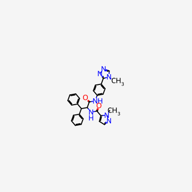 Cn1cnnc1-c1ccc(NC(=O)C(NC(=O)c2ccnn2C)C(c2ccccc2)c2ccccc2)cc1